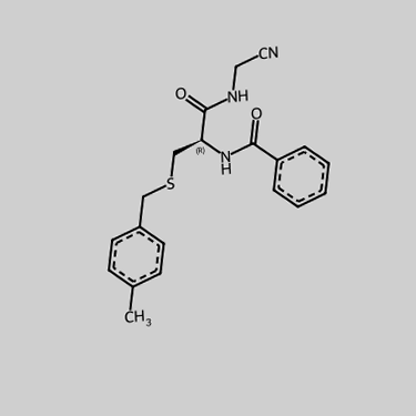 Cc1ccc(CSC[C@H](NC(=O)c2ccccc2)C(=O)NCC#N)cc1